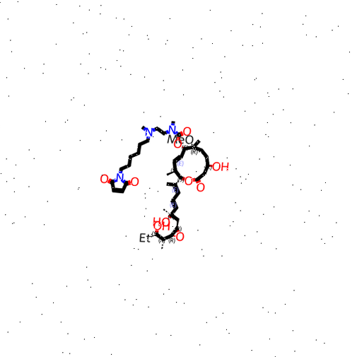 CC[C@H](O)[C@@H](C)[C@H]1O[C@@H]1C[C@@](C)(O)/C=C/C=C(\C)[C@H]1OC(=O)C[C@H](O)CC[C@@](C)(OC)[C@@H](OC(=O)N(C)CCN(C)CCCCCCN2C(=O)C=CC2=O)/C=C/[C@@H]1C